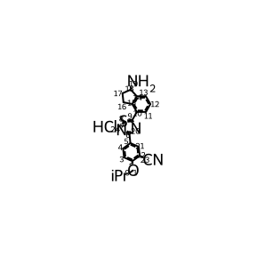 CC(C)Oc1ccc(-c2nsc(-c3cccc4c3CCC4N)n2)cc1C#N.Cl